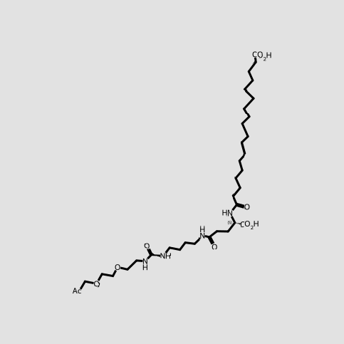 CC(=O)COCCOCCNC(=O)NCCCCNC(=O)CC[C@H](NC(=O)CCCCCCCCCCCCCCCCC(=O)O)C(=O)O